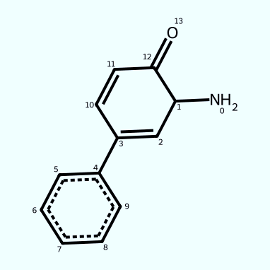 NC1C=C(c2ccccc2)C=CC1=O